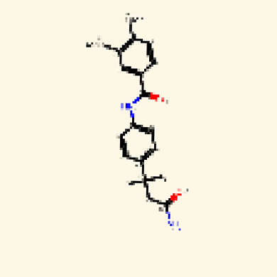 COc1ccc(C(=O)Nc2ccc(C(C)(C)CC(N)=O)cc2)cc1OC